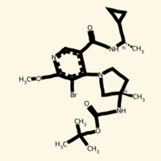 COc1ncc(C(=O)N[C@@H](C)C2CC2)c(N2CC[C@](C)(NC(=O)OC(C)(C)C)C2)c1Br